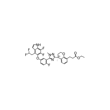 CCOC(=O)CCc1cccc2c1OCC[C@]2(C)c1nc(-c2cc(Oc3c(F)c(F)c4[nH]ccc4c3CC(F)F)ccc2F)n(C)n1